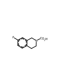 O=C(O)N1CCc2ccc(F)cc2C1